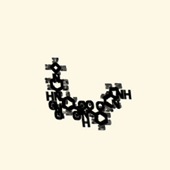 O=C(NS(=O)(=O)c1ccc(NC2CCN(C3CCC3)CC2)c([N+](=O)[O-])c1)c1ccccc1Oc1cnc2[nH]ccc2c1